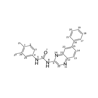 Cc1ccc(NC(=O)Nc2cnc3ccc(-c4ccccc4)cc3n2)cc1C